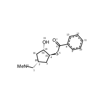 CNC[C@H]1C[C@H](SC(=O)c2ccccc2)[C@@H](O)C1